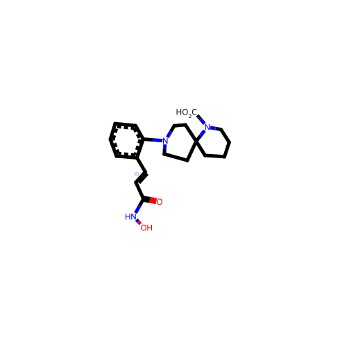 O=C(/C=C/c1ccccc1N1CCC2(CCCCN2C(=O)O)CC1)NO